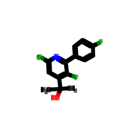 CC(C)(O)c1cc(Cl)nc(-c2ccc(F)cc2)c1F